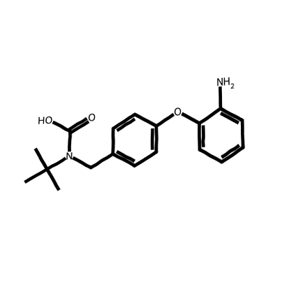 CC(C)(C)N(Cc1ccc(Oc2ccccc2N)cc1)C(=O)O